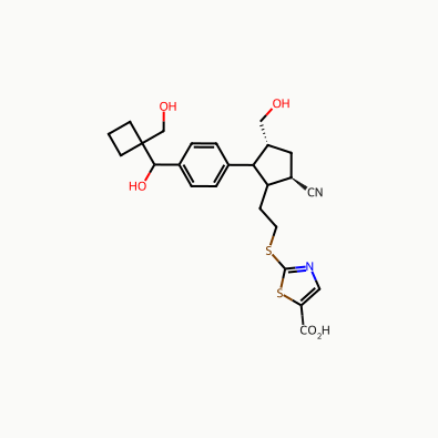 N#C[C@@H]1C[C@@H](CO)C(c2ccc(C(O)C3(CO)CCC3)cc2)C1CCSc1ncc(C(=O)O)s1